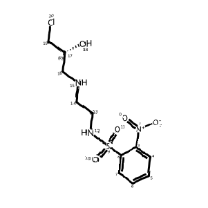 O=[N+]([O-])c1ccccc1S(=O)(=O)NCCNC[C@@H](O)CCl